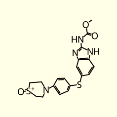 COC(=O)Nc1nc2cc(Sc3ccc(N4CC[S+]([O-])CC4)cc3)ccc2[nH]1